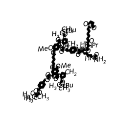 C=C1C[C@@H](CO[Si](C)(C)C(C)(C)C)N(C(=O)c2cc(OC)c(OCCCCCOc3cc(NC(=O)OCc4ccc(B5OC(C)(C)C(C)(C)O5)cc4)c(C(=O)N4CC(=C)C[C@H]4CO[Si](C)(C)C(C)(C)C)cc3OC)cc2NC(=O)OCc2ccc(NC(=O)[C@H](CCCCNC(N)=O)NC(=O)[C@@H](NC(=O)CCCCCN3C(=O)C=CC3=O)C(C)C)cc2)C1